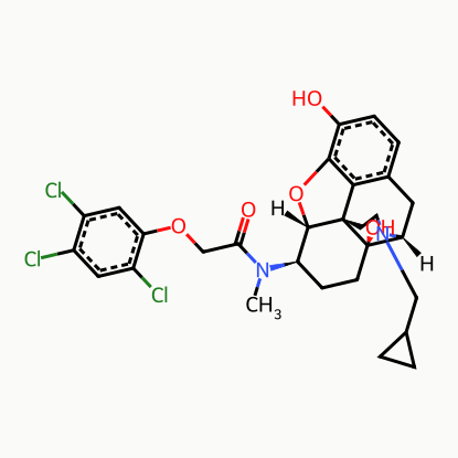 CN(C(=O)COc1cc(Cl)c(Cl)cc1Cl)[C@@H]1CC[C@@]2(O)[C@H]3Cc4ccc(O)c5c4[C@@]2(CCN3CC2CC2)[C@H]1O5